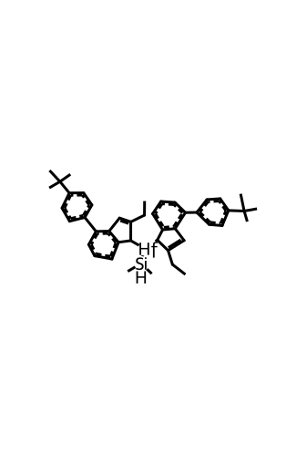 CCC1=Cc2c(-c3ccc(C(C)(C)C)cc3)cccc2[CH]1[Hf]([CH]1C(CC)=Cc2c(-c3ccc(C(C)(C)C)cc3)cccc21)[SiH](C)C